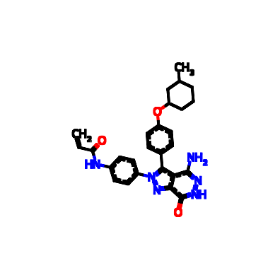 C=CC(=O)Nc1ccc(-n2nc3c(=O)[nH]nc(N)c3c2-c2ccc(OC3CCCC(C)C3)cc2)cc1